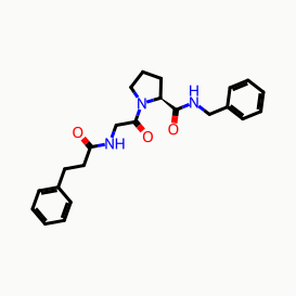 O=C(CCc1ccccc1)NCC(=O)N1CCC[C@H]1C(=O)NCc1ccccc1